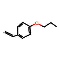 [CH]=Cc1ccc(OCCC)cc1